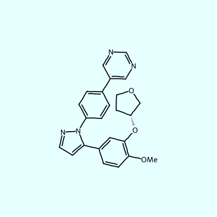 COc1ccc(-c2ccnn2-c2ccc(-c3cncnc3)cc2)cc1O[C@@H]1CCOC1